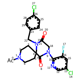 CC(=O)N1CCC2(CC1)C(=O)N(c1ncc(Cl)cc1F)CC(=O)N2Cc1ccc(Cl)cc1